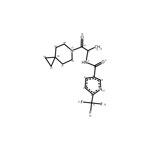 CC(NC(=O)c1ccc(C(F)(F)F)nc1)C(=O)N1CCC2(CC1)CC2